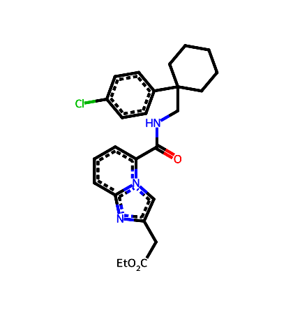 CCOC(=O)Cc1cn2c(C(=O)NCC3(c4ccc(Cl)cc4)CCCCC3)cccc2n1